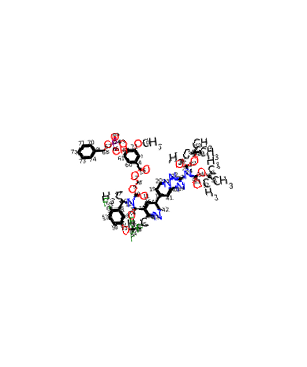 COc1cc(C(=O)OCOC(=O)N(C(=O)c2cc(-c3ccn4nc(N(C(=O)OC(C)(C)C)C(=O)OC(C)(C)C)nc4c3)cnc2C)C(C)c2cc(OC(F)(F)F)ccc2F)ccc1OP(=O)(O)OCc1ccccc1